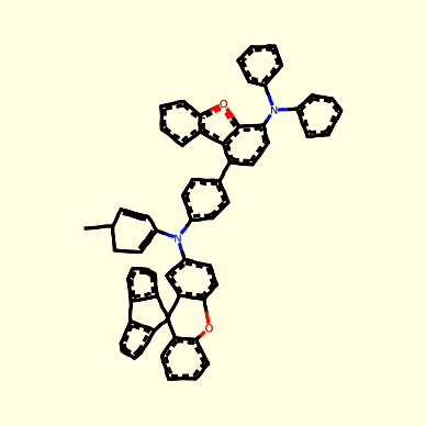 CC1C=CC(N(c2ccc(-c3ccc(N(c4ccccc4)c4ccccc4)c4oc5ccccc5c34)cc2)c2ccc3c(c2)C2(c4ccccc4O3)c3ccccc3-c3ccccc32)=CC1